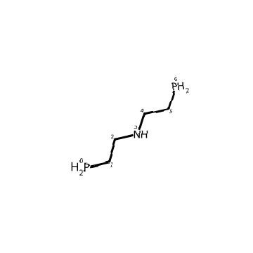 PCCNCCP